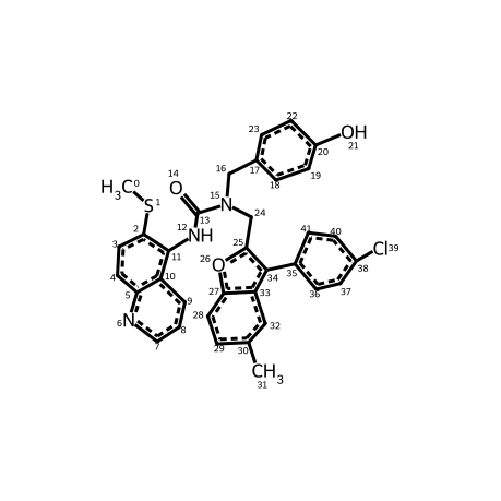 CSc1ccc2ncccc2c1NC(=O)N(Cc1ccc(O)cc1)Cc1oc2ccc(C)cc2c1-c1ccc(Cl)cc1